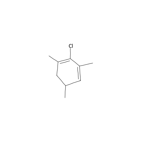 CC1=CC(C)CC(C)=C1Cl